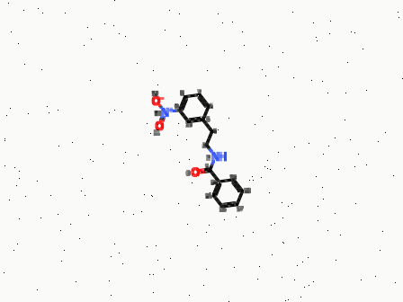 O=C(NCCc1cccc([N+](=O)[O-])c1)c1ccccc1